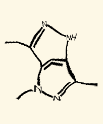 Cc1nn(C)c2c(C)n[nH]c12